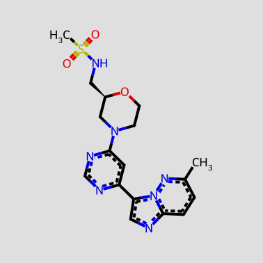 Cc1ccc2ncc(-c3cc(N4CCO[C@H](CNS(C)(=O)=O)C4)ncn3)n2n1